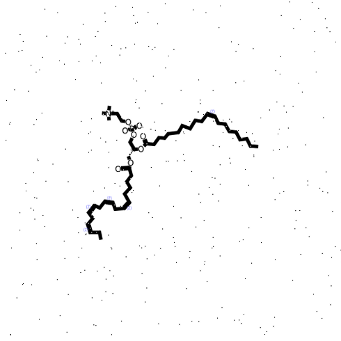 CC/C=C\C/C=C\C/C=C\C/C=C\CCCCC(=O)OC[C@H](COP(=O)([O-])OCC[N+](C)(C)C)OC(=O)CCCCCCCCC/C=C\CCCCCCCC